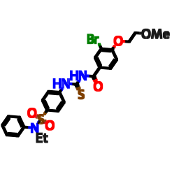 CCN(c1ccccc1)S(=O)(=O)c1ccc(NC(=S)NC(=O)c2ccc(OCCOC)c(Br)c2)cc1